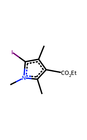 CCOC(=O)c1c(C)c(I)n(C)c1C